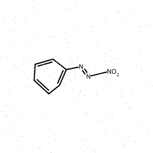 O=[N+]([O-])/N=N/c1ccccc1